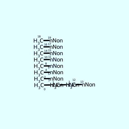 CCCCCCCCCC.CCCCCCCCCC.CCCCCCCCCC.CCCCCCCCCC.CCCCCCCCCC.CCCCCCCCCC.CCCCCCCCCC.CCCCCCCCCC.CCCCCCCCCC.CCCCCCCCCC